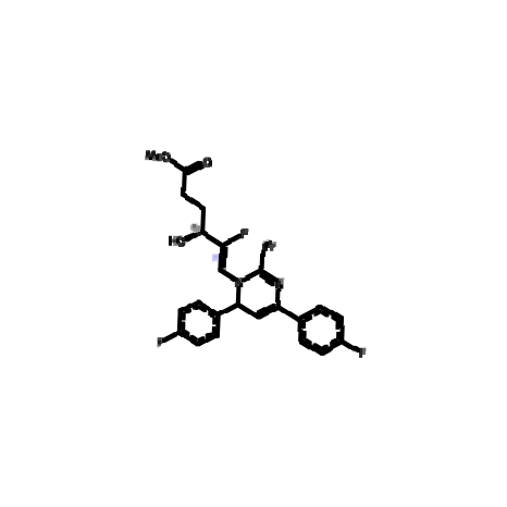 COC(=O)CC[C@H](O)/C(F)=C/N1C(C(C)C)=NC(c2ccc(F)cc2)=CC1c1ccc(F)cc1